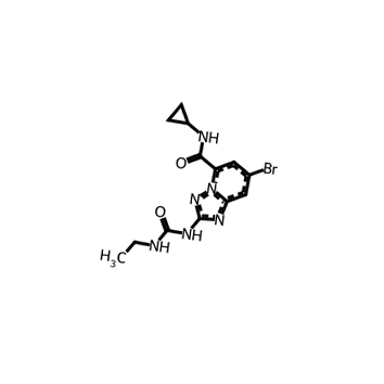 CCNC(=O)Nc1nc2cc(Br)cc(C(=O)NC3CC3)n2n1